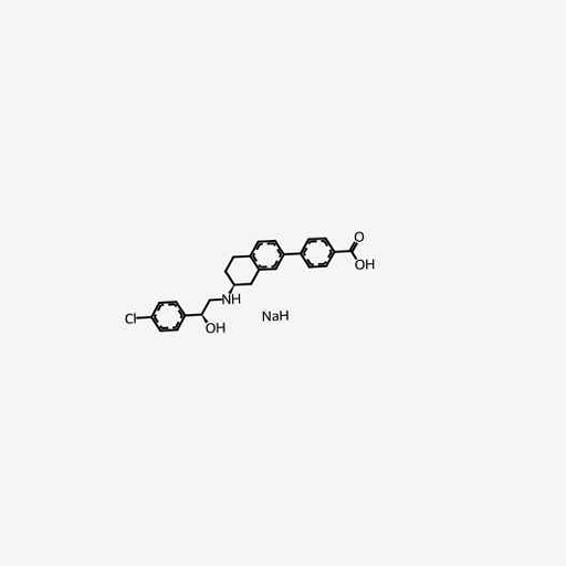 O=C(O)c1ccc(-c2ccc3c(c2)C[C@@H](NC[C@@H](O)c2ccc(Cl)cc2)CC3)cc1.[NaH]